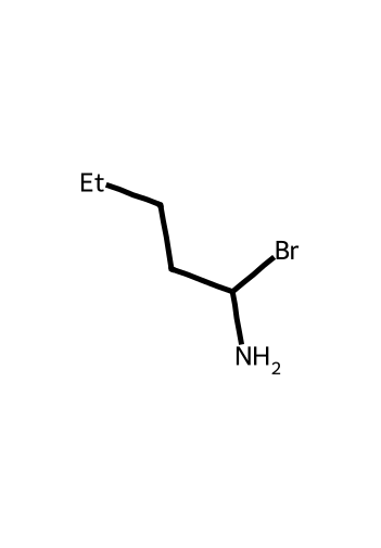 CCCCC(N)Br